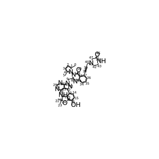 Cc1ccc(C)n1-n1c(Cn2nc(-c3ccc(O)c4c3CC(C)(C)O4)c3c(N)ncnc32)nc2cccc(C#CCN3CCNC(=O)C3)c2c1=O